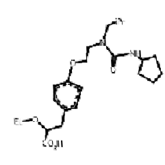 CCOC(Cc1ccc(OCCN(CC(C)C)C(=O)NC2CCCC2)cc1)C(=O)O